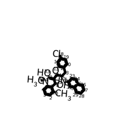 Cc1cccc2c1C(O)C(C(=O)C(Cc1ccc(Cl)cc1)Nc1ccc3ccccc3c1)=C(O)N2C